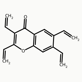 C=Cc1cc2oc(C=C)c(C=C)c(=O)c2cc1C=C